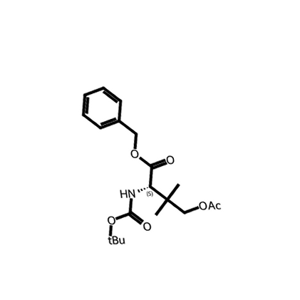 CC(=O)OCC(C)(C)[C@H](NC(=O)OC(C)(C)C)C(=O)OCc1ccccc1